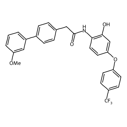 COc1cccc(-c2ccc(CC(=O)Nc3ccc(Oc4ccc(C(F)(F)F)cc4)cc3O)cc2)c1